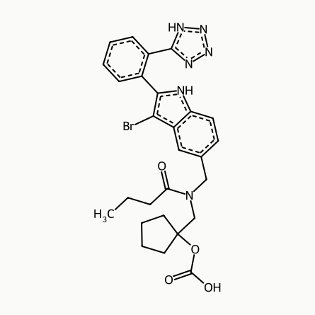 CCCC(=O)N(Cc1ccc2[nH]c(-c3ccccc3-c3nnn[nH]3)c(Br)c2c1)CC1(OC(=O)O)CCCC1